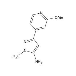 COc1cc(-c2cc(N)n(C)n2)ccn1